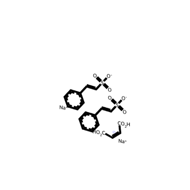 O=C(O)/C=C\C(=O)O.O=S(=O)([O-])C=Cc1ccccc1.O=S(=O)([O-])C=Cc1ccccc1.[Na+].[Na+]